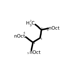 CCCCCCCCC(C)CC(CCCCCCCC)CCCCCCCC